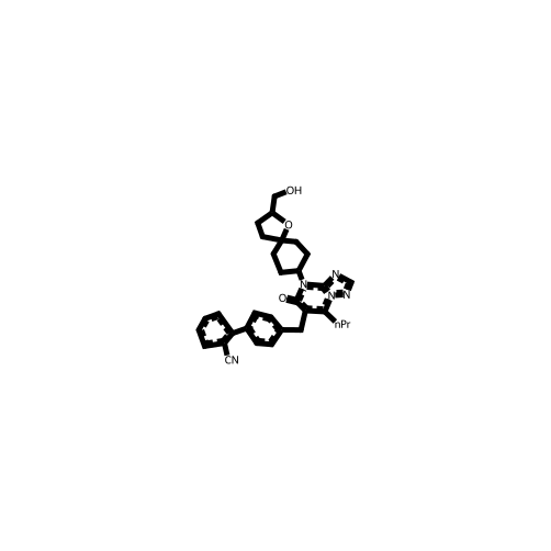 CCCc1c(Cc2ccc(-c3ccccc3C#N)cc2)c(=O)n(C2CCC3(CCC(CO)O3)CC2)c2ncnn12